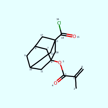 C=C(C)C(=O)OC12CC3CC(C1)CC(C(=O)Cl)(C3)C2